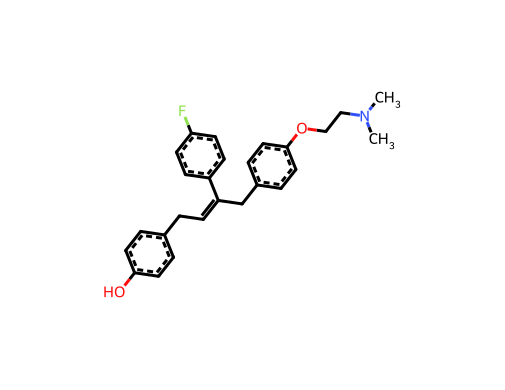 CN(C)CCOc1ccc(C/C(=C/Cc2ccc(O)cc2)c2ccc(F)cc2)cc1